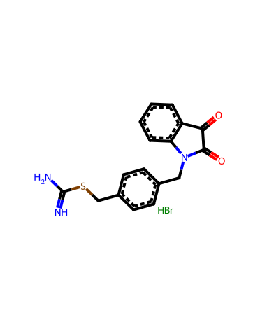 Br.N=C(N)SCc1ccc(CN2C(=O)C(=O)c3ccccc32)cc1